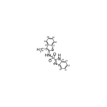 Cc1c(NS(=O)(=O)c2nc3ccccc3[nH]2)sc2ccccc12